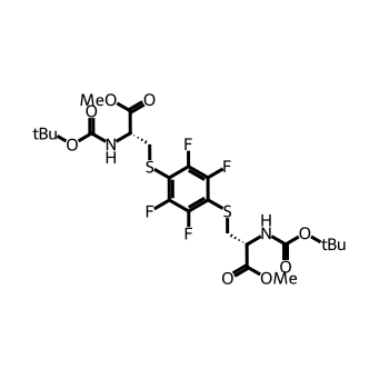 COC(=O)[C@H](CSc1c(F)c(F)c(SC[C@H](NC(=O)OC(C)(C)C)C(=O)OC)c(F)c1F)NC(=O)OC(C)(C)C